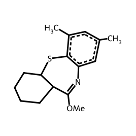 COC1=Nc2cc(C)cc(C)c2SC2CCCCC12